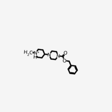 [CH2-][NH+]1CCC(N2CCN(C(=O)OCc3ccccc3)CC2)CC1